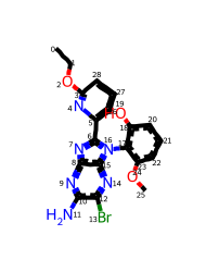 CCOC1=NC(c2nc3nc(N)c(Br)nc3n2-c2c(O)cccc2OC)=C=C=C1